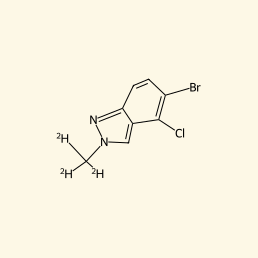 [2H]C([2H])([2H])n1cc2c(Cl)c(Br)ccc2n1